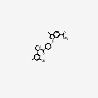 Cc1cn(C[C@H]2CC[C@H](C(=O)N3OCC[C@H]3c3cc(F)cc(C#N)c3)CC2)c2cc(C(N)=O)ccc12